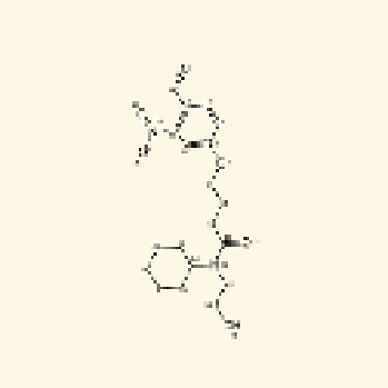 O=Cc1ccc(OCCCC(=O)N(CCO)C2CCCCC2)cc1[N+](=O)[O-]